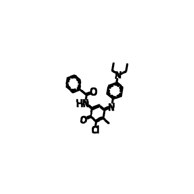 CCN(CC)c1ccc(N=C2C=C(NC(=O)c3ccccc3)C(=O)C(Cl)=C2C)cc1